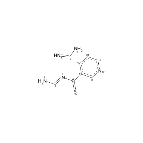 N=CN.NC=NC(=S)c1cccnc1